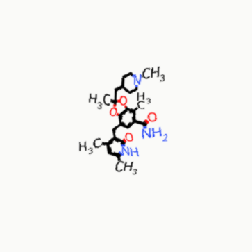 Cc1cc(C)c(Cc2cc(C(N)=O)c(C)c3c2OC(C)(CC2CCN(C)CC2)O3)c(=O)[nH]1